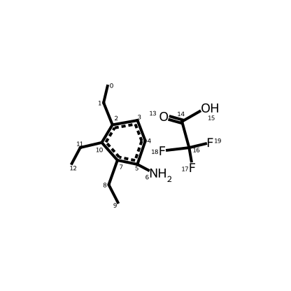 CCc1ccc(N)c(CC)c1CC.O=C(O)C(F)(F)F